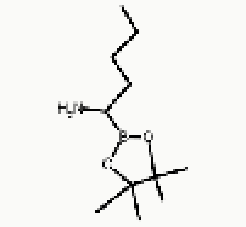 CCCCC(N)B1OC(C)(C)C(C)(C)O1